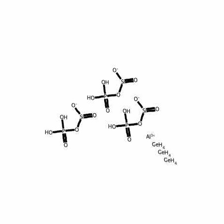 O=[Si]([O-])OP(=O)(O)O.O=[Si]([O-])OP(=O)(O)O.O=[Si]([O-])OP(=O)(O)O.[Al+3].[GeH4].[GeH4].[GeH4]